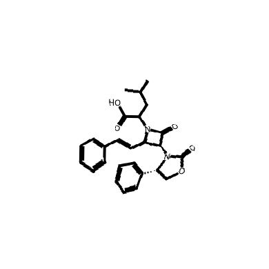 CC(C)CC(C(=O)O)N1C(=O)[C@@H](N2C(=O)OC[C@@H]2c2ccccc2)C1C=Cc1ccccc1